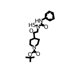 CC(C)(C)OC(=O)N1CCC(C(=O)CN(S)C(=O)Nc2ccccc2)CC1